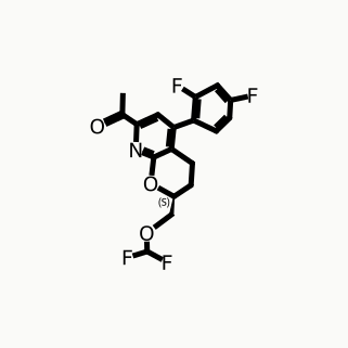 CC(=O)c1cc(-c2ccc(F)cc2F)c2c(n1)O[C@H](COC(F)F)CC2